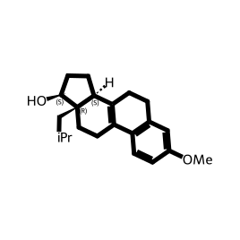 COc1ccc2c(c1)CCC1=C2CC[C@]2(CC(C)C)[C@@H](O)CC[C@@H]12